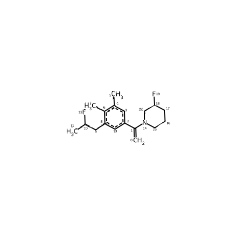 C=C(c1cc(C)c(C)c(CC(C)F)c1)N1CCCC(F)C1